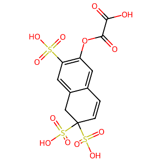 O=C(O)C(=O)Oc1cc2c(cc1S(=O)(=O)O)CC(S(=O)(=O)O)(S(=O)(=O)O)C=C2